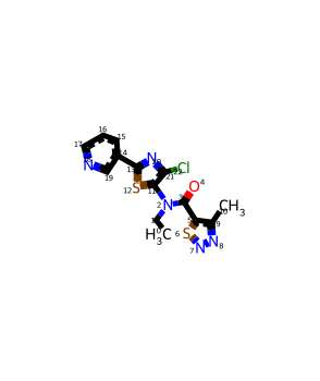 CCN(C(=O)c1snnc1C)c1sc(-c2cccnc2)nc1Cl